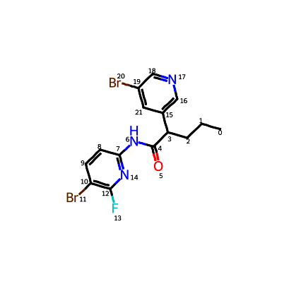 CCCC(C(=O)Nc1ccc(Br)c(F)n1)c1cncc(Br)c1